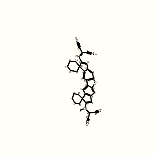 CN(C1=Cc2cc3sc4cc5c(cc4c3cc2C12CCCCC2)C1(CCCCC1)C(N=C(C#N)C#N)=C5)C(C#N)C#N